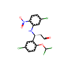 O=CC[C@@H](Nc1cc(Br)ccc1[N+](=O)[O-])c1cc(Cl)ccc1OC(F)F